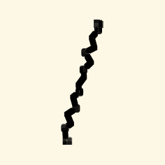 [CH2]COCCOCOCCOCOCCOC[CH2]